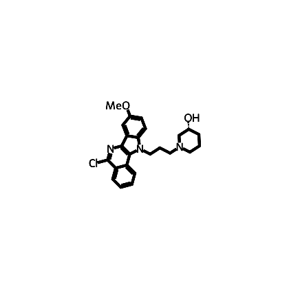 COc1ccc2c(c1)c1nc(Cl)c3ccccc3c1n2CCCN1CCC[C@@H](O)C1